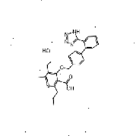 CCCc1nc(C)c(CC)c(OCc2ccc(-c3ccccc3-c3nnn[nH]3)cc2)c1C(=O)O.Cl